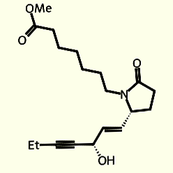 CCC#C[C@@H](O)C=C[C@H]1CCC(=O)N1CCCCCCC(=O)OC